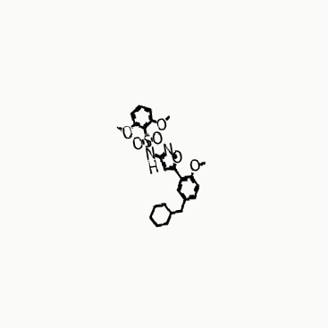 COc1ccc(CC2CCCCC2)cc1-c1cc(NS(=O)(=O)c2c(OC)cccc2OC)no1